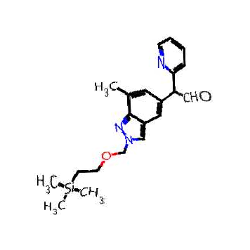 Cc1cc(C(C=O)c2ccccn2)cc2cn(COCC[Si](C)(C)C)nc12